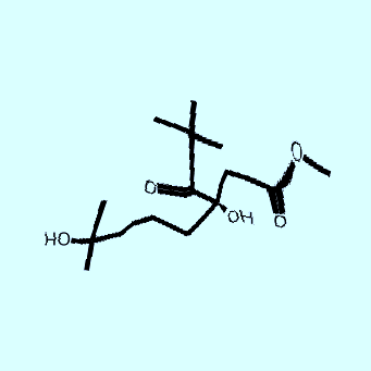 COC(=O)C[C@](O)(CCCC(C)(C)O)C(=O)C(C)(C)C